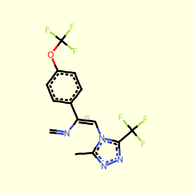 C=N/C(=C\n1c(C)nnc1C(F)(F)F)c1ccc(OC(F)(F)F)cc1